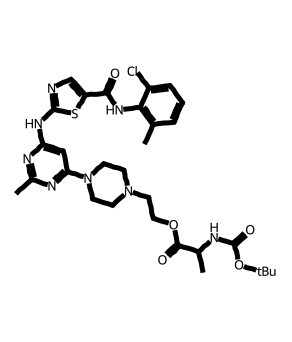 Cc1nc(Nc2ncc(C(=O)Nc3c(C)cccc3Cl)s2)cc(N2CCN(CCOC(=O)C(C)NC(=O)OC(C)(C)C)CC2)n1